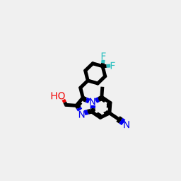 Cc1cc(C#N)cc2nc(CO)c(CC3CCC(F)(F)CC3)n12